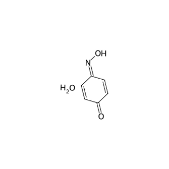 O.O=C1C=CC(=NO)C=C1